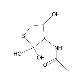 [CH2]C(=O)NC1C(O)CSC1(O)O